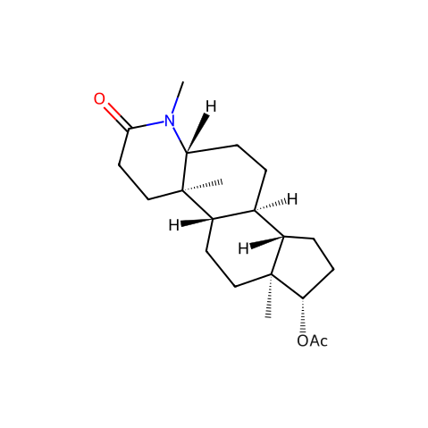 CC(=O)O[C@H]1CC[C@H]2[C@@H]3CC[C@H]4N(C)C(=O)CC[C@]4(C)[C@H]3CC[C@]12C